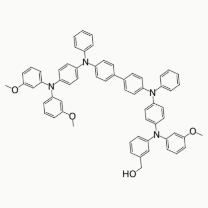 COc1cccc(N(c2ccc(N(c3ccccc3)c3ccc(-c4ccc(N(c5ccccc5)c5ccc(N(c6cccc(OC)c6)c6cccc(OC)c6)cc5)cc4)cc3)cc2)c2cccc(CO)c2)c1